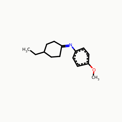 CCC1CCC(=Nc2ccc(OC)cc2)CC1